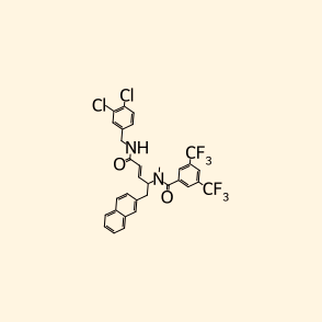 CN(C(=O)c1cc(C(F)(F)F)cc(C(F)(F)F)c1)C(C=CC(=O)NCc1ccc(Cl)c(Cl)c1)Cc1ccc2ccccc2c1